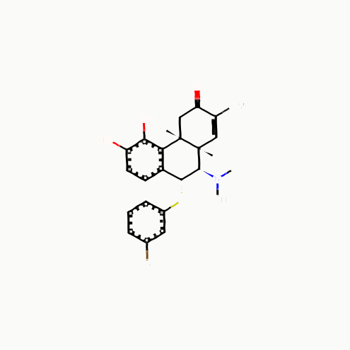 COC1=C[C@@H]2[C@@H](N(C)C)[C@H](Sc3cccc(Br)c3)c3ccc(O)c(O)c3[C@]2(C)CC1=O